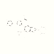 Cl.NC(=O)c1nc(-c2cn[nH]c2)oc1-c1cc2sc(N3CCOCC3)nc2nc1C1CC1